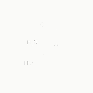 C=CC(=O)OC(N)(O)CC